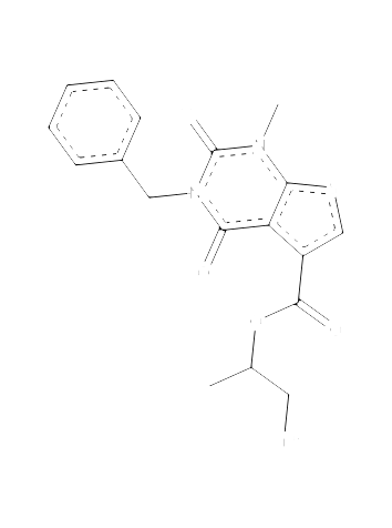 CC(C)CC(C)OC(=O)c1csc2c1c(=O)n(Cc1ccccc1)c(=O)n2C